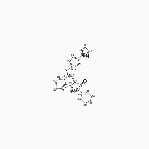 O=c1c2cn(Cc3ccc(-n4cccn4)cc3)c3ccccc3c-2nn1C1[CH]CCCC1